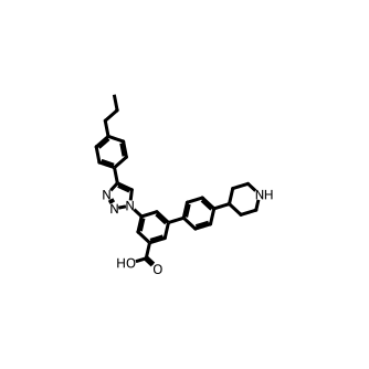 CCCc1ccc(-c2cn(-c3cc(C(=O)O)cc(-c4ccc(C5CCNCC5)cc4)c3)nn2)cc1